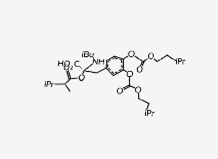 CCC(C)N[C@@](Cc1ccc(OC(=O)OCCC(C)C)c(OC(=O)OCCC(C)C)c1)(OC(=O)C(C)C(C)C)C(=O)O